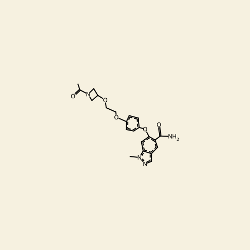 CC(=O)N1CC(OCCOc2ccc(Oc3cc4c(cnn4C)cc3C(N)=O)cc2)C1